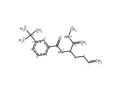 C=CCCC(NC(=O)c1cccc(C(C)(C)C)n1)C(=C)NC